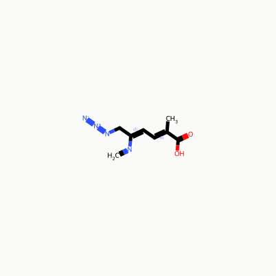 C=N/C(=C\C=C(/C)C(=O)O)CN=[N+]=[N-]